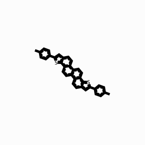 Cc1ccc(-c2cc3ccc4c5ccc6c(ccc7cc(-c8ccc(C)cc8)sc76)c5ccc4c3s2)cc1